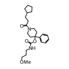 COCCCNC(=O)OC1(c2ccccc2)CCN(C(=O)CCC2CCCC2)CC1